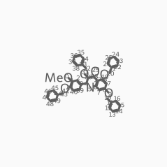 COc1cc(C2=Nc3cc(OCc4ccccc4)cc(OCc4ccccc4)c3C(=O)C2OCc2ccccc2)ccc1OCc1ccccc1